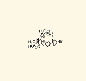 CC(NC(=O)[C@H](Cc1ccc(-c2ncc(Br)cn2)cc1)NC(=O)c1ccc(C(C)(C)C)s1)C(=O)O